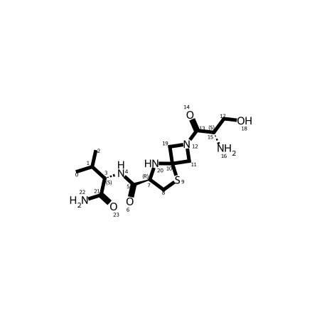 CC(C)[C@H](NC(=O)[C@@H]1CSC2(CN(C(=O)[C@@H](N)CO)C2)N1)C(N)=O